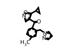 Cc1ccc(C(=O)c2cnoc2C2CC2)c(Cn2cccn2)c1